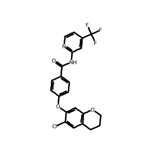 O=C(Nc1cc(C(F)(F)F)ccn1)c1ccc(Oc2cc3c(cc2Cl)CCCO3)cc1